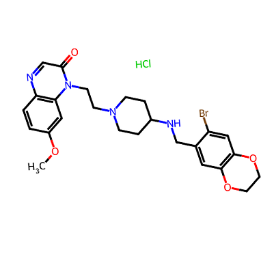 COc1ccc2ncc(=O)n(CCN3CCC(NCc4cc5c(cc4Br)OCCO5)CC3)c2c1.Cl